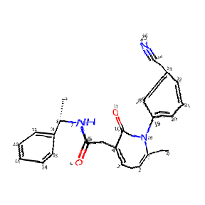 Cc1ccc(C(=O)N[C@@H](C)c2ccccc2)c(=O)n1-c1cccc(C#N)c1